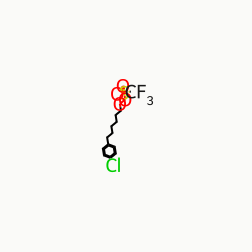 O=S(=O)(OOCCCCCCc1ccc(Cl)cc1)C(F)(F)F